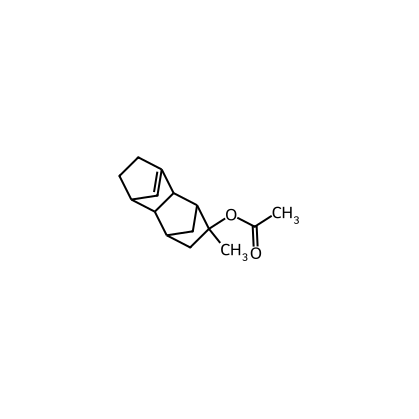 CC(=O)OC1(C)CC2CC1C1C3=CC(CC3)C21